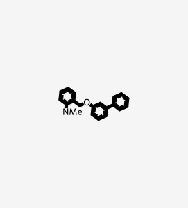 CNc1ccccc1COc1cccc(-c2ccccc2)c1